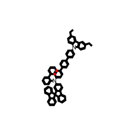 CCc1ccc2c(c1)c1cc(CC)ccc1n2-c1ccc(-c2ccc(-c3ccc(N(c4ccc5c(c4)C4(c6ccccc6-c6ccccc64)c4ccccc4-5)c4ccccc4-c4ccccc4)cc3)cc2)cc1